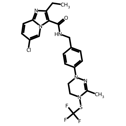 CCc1nc2ccc(Cl)cn2c1C(=O)NCc1ccc(N2CCN(SC(F)(F)F)C(C)=N2)cc1